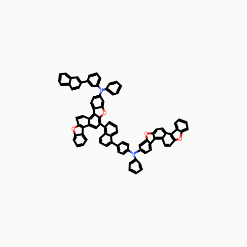 c1ccc(N(c2ccc(-c3cccc4c(-c5cc6c(ccc7oc8ccccc8c76)c6c5oc5cc(N(c7ccccc7)c7cccc(-c8ccc9ccccc9c8)c7)ccc56)cccc34)cc2)c2ccc3c(c2)oc2ccc4c(ccc5oc6ccccc6c54)c23)cc1